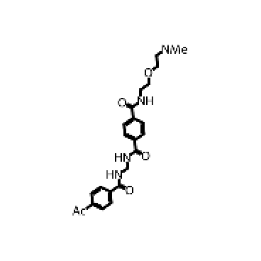 CNCCOCCNC(=O)c1ccc(C(=O)NCNC(=O)c2ccc(C(C)=O)cc2)cc1